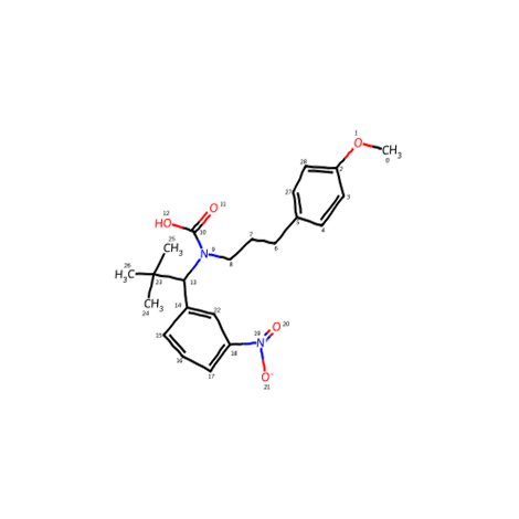 COc1ccc(CCCN(C(=O)O)C(c2cccc([N+](=O)[O-])c2)C(C)(C)C)cc1